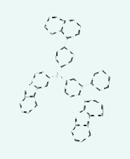 c1ccc(-c2cc(N(c3ccc(-c4cccc5ccccc45)cc3)c3ccc4oc5ccccc5c4c3)ccc2-c2cccc3c2sc2ccccc23)cc1